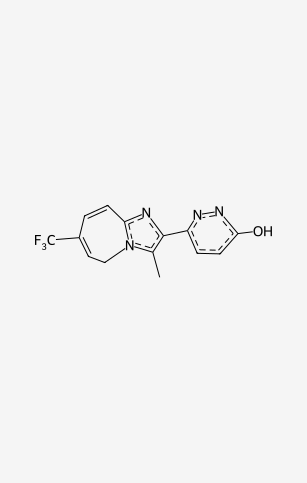 Cc1c(-c2ccc(O)nn2)nc2n1CC=C(C(F)(F)F)C=C2